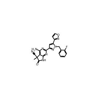 CC1(C#N)C(=O)Nc2nc(-c3cc(-c4ccon4)n(Cc4ccccc4F)n3)nc(N)c21